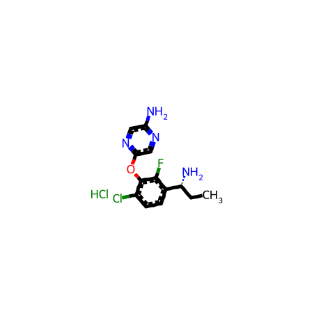 CC[C@@H](N)c1ccc(Cl)c(Oc2cnc(N)cn2)c1F.Cl